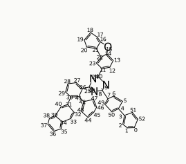 c1ccc(-c2ccc(-c3nc(-c4ccc5oc6ccccc6c5c4)nc(-c4cccc(-c5ccc6ccccc6c5)c4-c4ccccc4)n3)cc2)cc1